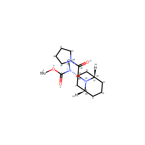 CN(C(=O)OC(C)(C)C)[C@H]1C[C@H]2CCC[C@@H](C1)N2CC(=O)N1CCCC1